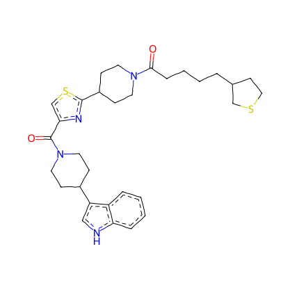 O=C(CCCCC1CCSC1)N1CCC(c2nc(C(=O)N3CCC(c4c[nH]c5ccccc45)CC3)cs2)CC1